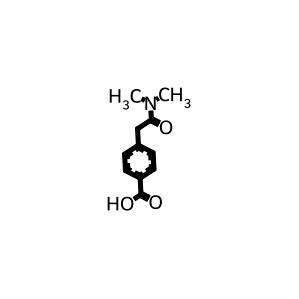 CN(C)C(=O)Cc1ccc(C(=O)O)cc1